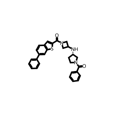 O=C(c1ccccc1)N1CC[C@H](NC2CN(C(=O)c3cc4ccc(-c5ccccc5)cc4s3)C2)C1